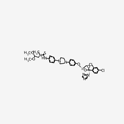 COC(CN(C)C(=S)Nc1ccc(N2CCN(c3ccc(OC[C@@H]4CO[C@@](Cn5cncn5)(c5ccc(Cl)cc5Cl)O4)cc3)CC2)cc1)OC